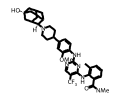 CNC(=O)c1cccc(C)c1Nc1nc(Nc2ccc(C3CCN([C@H]4C5CC6CC4C[C@](O)(C6)C5)CC3)cc2OC)ncc1C(F)(F)F